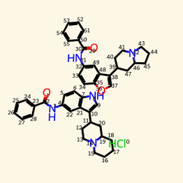 Cl.O=C(Nc1ccc2[nH]cc(C3CCN4CCCCC4C3)c2c1)c1ccccc1.O=C(Nc1ccc2occ(C3CCN4CCCC4C3)c2c1)c1ccccc1